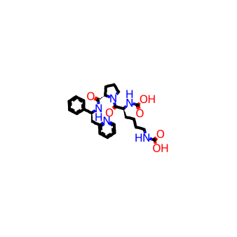 O=C(O)NCCCC[C@H](NC(=O)O)C(=O)N1CCC[C@H]1C(=O)N[C@@H](Cc1ccccn1)c1ccccc1